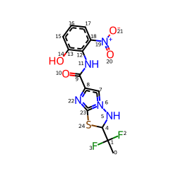 CC(F)(F)C1Nn2cc(C(=O)Nc3c(O)cccc3[N+](=O)[O-])nc2S1